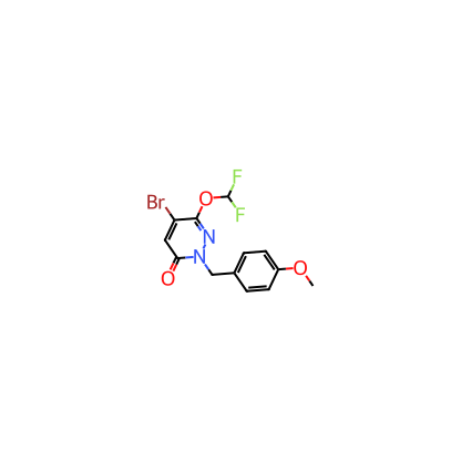 COc1ccc(Cn2nc(OC(F)F)c(Br)cc2=O)cc1